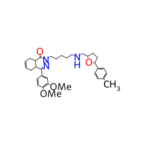 COc1ccc(C2=NN(CCCCCNCC3CCC(c4ccc(C)cc4)O3)C(=O)C3CC=CCC23)cc1OC